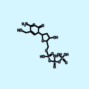 NC1=NC(=O)C(C2CC(O)C(COP(=O)(O)OP(=O)(O)OP(=O)(O)O)O2)C=C1CO